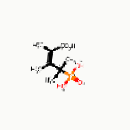 CC(C(=O)O)=C(C)C(C)(C)P(=O)(O)O